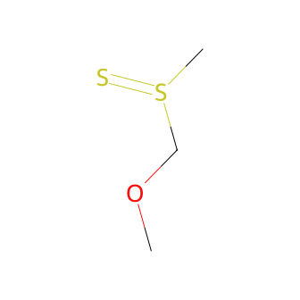 COCS(C)=S